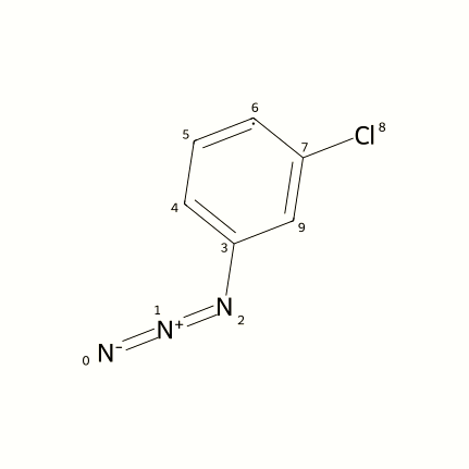 [N-]=[N+]=Nc1cc[c]c(Cl)c1